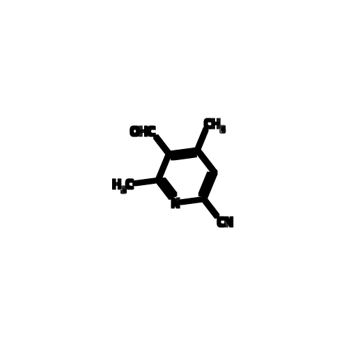 Cc1cc(C#N)nc(C)c1C=O